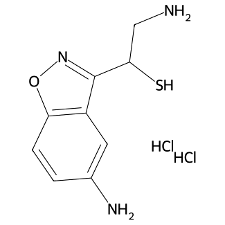 Cl.Cl.NCC(S)c1noc2ccc(N)cc12